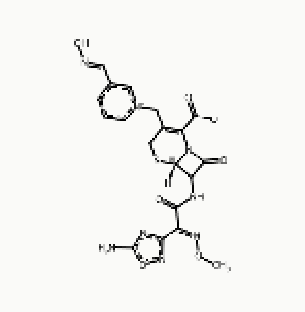 CON=C(C(=O)NC1C(=O)N2C(C(=O)[O-])=C(C[n+]3cccc(C=NO)c3)CS[C@@H]12)c1noc(N)n1